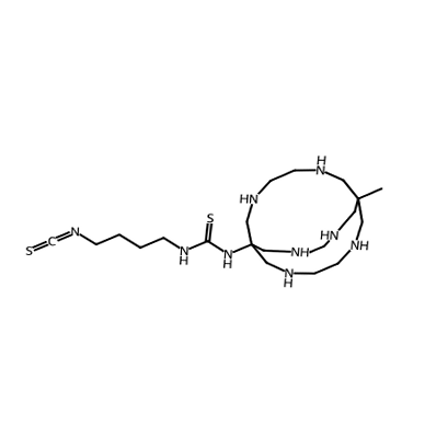 CC12CNCCNCC(NC(=S)NCCCCN=C=S)(CNCCNC1)CNCCNC2